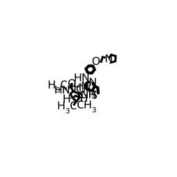 CNC(=O)[C@H]1C[C@H]2C[C@@H](C2(C)C)[C@@]1(C)Nc1nc(Nc2ccc(OCCN3CCCC3)cc2)nc2ccsc12